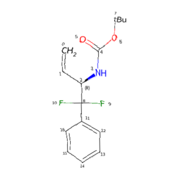 C=C[C@@H](NC(=O)OC(C)(C)C)C(F)(F)c1ccccc1